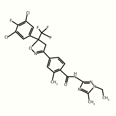 CCn1nc(NC(=O)c2ccc(C3=NOC(c4cc(Cl)c(F)c(Cl)c4)(C(F)(F)F)C3)cc2C)nc1C